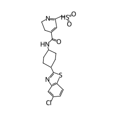 O=C(NC1CCC(c2nc3cc(Cl)ccc3s2)CC1)C1=CC(C[SH](=O)=O)=NCC1